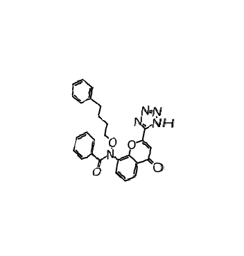 O=C(c1ccccc1)N(OCCCCc1ccccc1)c1cccc2c(=O)cc(-c3nnn[nH]3)oc12